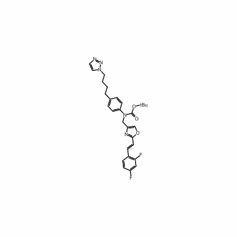 CC(C)(C)OC(=O)N(Cc1coc(/C=C/c2ccc(F)cc2F)n1)c1ccc(CCCCn2ccnn2)cc1